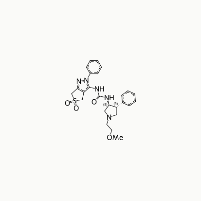 COCCN1C[C@@H](NC(=O)Nc2c3c(nn2-c2ccccc2)CS(=O)(=O)C3)[C@H](c2ccccc2)C1